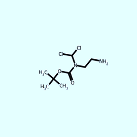 CC(C)(C)OC(=O)N(CCN)C(Cl)Cl